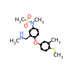 CNCc1cc(N(C)S(C)(=O)=O)ccc1Oc1ccc(SC)c(C)c1